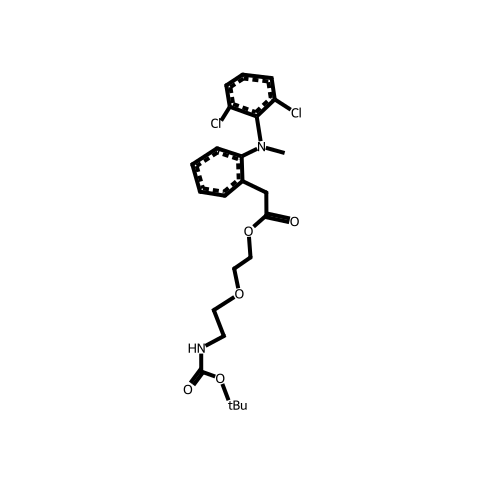 CN(c1ccccc1CC(=O)OCCOCCNC(=O)OC(C)(C)C)c1c(Cl)cccc1Cl